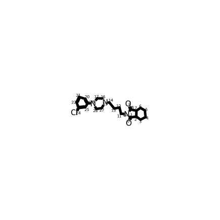 O=C1C2CCCCC2C(=O)N1CCCCN1CCN(c2cccc(Cl)c2)CC1